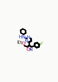 CCOCc1onc(-c2ccc(F)cc2)c1-c1ccnc(NC2CCCCC2)n1